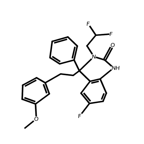 COc1cccc(CCC2(c3ccccc3)c3cc(F)ccc3NC(=O)N2CC(F)F)c1